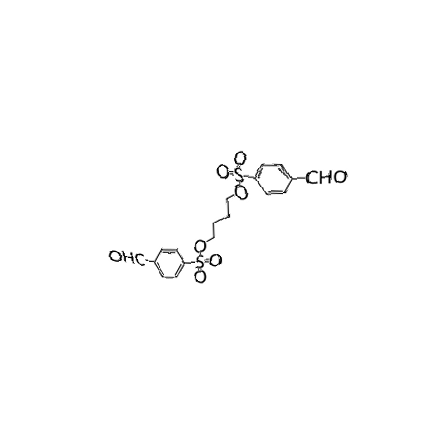 O=Cc1ccc(S(=O)(=O)OCCCCOS(=O)(=O)c2ccc(C=O)cc2)cc1